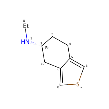 CCN[C@@H]1CCc2cscc2C1